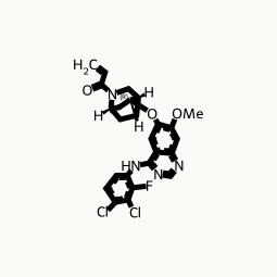 C=CC(=O)N1C[C@@H]2CC[C@H]1C[C@H]2Oc1cc2c(Nc3ccc(Cl)c(Cl)c3F)ncnc2cc1OC